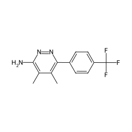 Cc1c(N)nnc(-c2ccc(C(F)(F)F)cc2)c1C